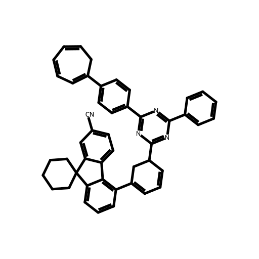 N#Cc1ccc2c(c1)C1(CCCCC1)c1cccc(C3=CC=CC(c4nc(-c5ccccc5)nc(-c5ccc(C6=CC=CC=CC6)cc5)n4)C3)c1-2